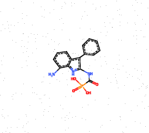 Nc1cccc2c(-c3ccccc3)c(NC(=O)P(=O)(O)O)[nH]c12